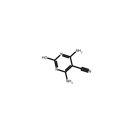 N#Cc1c(N)nc(O)nc1N